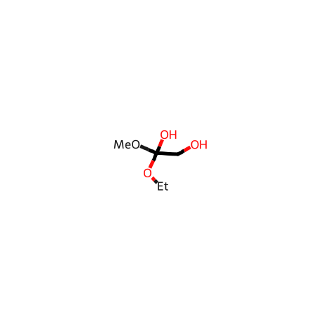 CCOC(O)(CO)OC